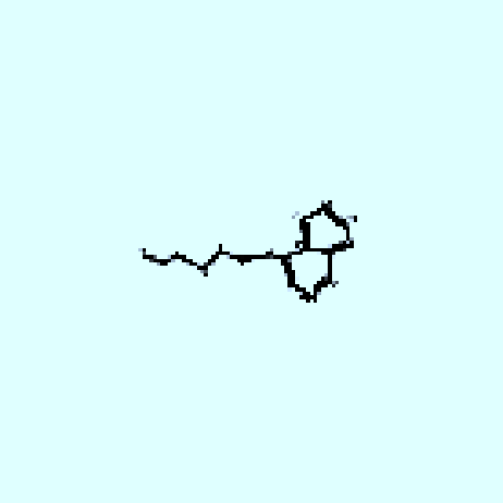 CCCCCCCc1cncc2ccccc12